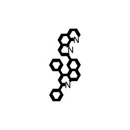 c1ccc(-c2cc(-c3ccccc3)c3c(ccc4ccc(-c5ccc6ccc7cccnc7c6n5)cc43)n2)cc1